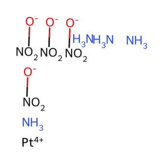 N.N.N.N.O=[N+]([O-])[O-].O=[N+]([O-])[O-].O=[N+]([O-])[O-].O=[N+]([O-])[O-].[Pt+4]